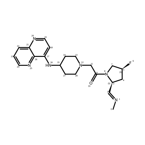 CN=C[C@@H]1C[C@H](F)CN1C(=O)CN1CCC(Nc2ccnc3cccnc23)CC1